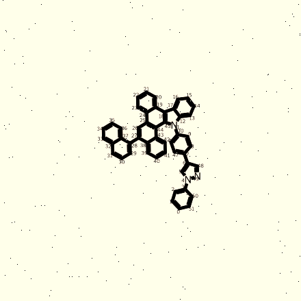 c1ccc(-n2cc(-c3ccc(-n4c5ccccc5c5c6ccccc6c6cc(-c7cccc8ccccc78)c7ccccc7c6c54)cc3)cn2)cc1